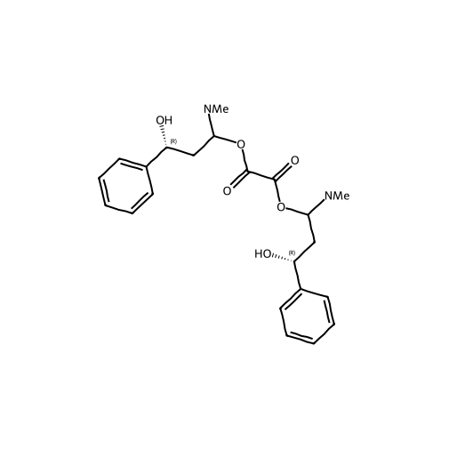 CNC(C[C@@H](O)c1ccccc1)OC(=O)C(=O)OC(C[C@@H](O)c1ccccc1)NC